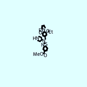 CCOc1cc(CN(c2nc3cc(C(=O)OC)ccc3s2)C2CCNCC2)cc(OCC)c1-n1cccc1